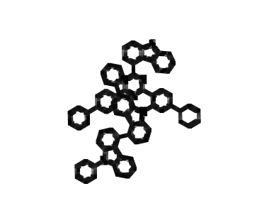 C1=CCC(c2ccc(-c3nc(-c4ccc(-c5ccccc5)cc4)nc(-c4cccc5sc6ccccc6c45)n3)c(-n3c4cc(-c5ccccc5)ccc4c4c(-c5cccc6c5c5ccccc5n6-c5ccccc5)cccc43)c2)C=C1